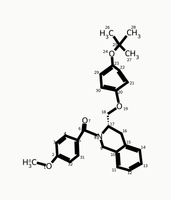 COc1ccc(C(=O)N2Cc3ccccc3C[C@H]2COc2ccc(OC(C)(C)C)cc2)cc1